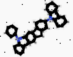 c1ccc(-n2c3ccccc3c3cc4c(cc32)-c2ccc(-n3c5ccccc5c5ccccc53)cc2C4)cc1